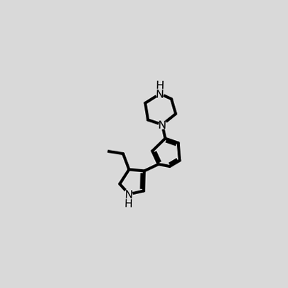 CCC1CNC=C1c1cccc(N2CCNCC2)c1